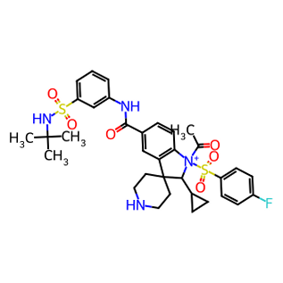 CC(=O)[N+]1(S(=O)(=O)c2ccc(F)cc2)c2ccc(C(=O)Nc3cccc(S(=O)(=O)NC(C)(C)C)c3)cc2C2(CCNCC2)C1C1CC1